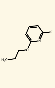 CCCOc1cccc(Cl)n1